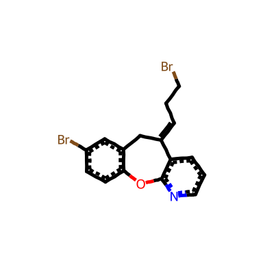 BrCC/C=C1\Cc2cc(Br)ccc2Oc2ncccc21